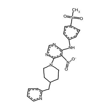 CS(=O)(=O)c1ccc(Nc2ncnc(N3CCC(Cc4ccccn4)CC3)c2[N+](=O)[O-])cc1